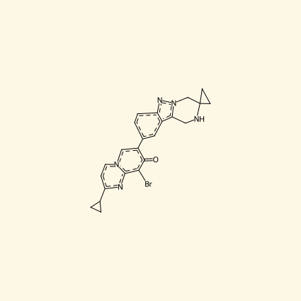 O=c1c(-c2ccc3nn4c(c3c2)CNC2(CC2)C4)cn2ccc(C3CC3)nc2c1Br